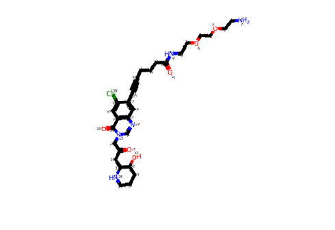 NCCOCCOCCNC(=O)CCCC#Cc1cc2ncn(CC(=O)CC3NCCCC3O)c(=O)c2cc1Cl